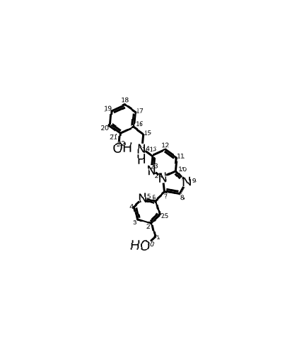 OCc1ccnc(-c2cnc3ccc(NCc4ccccc4O)nn23)c1